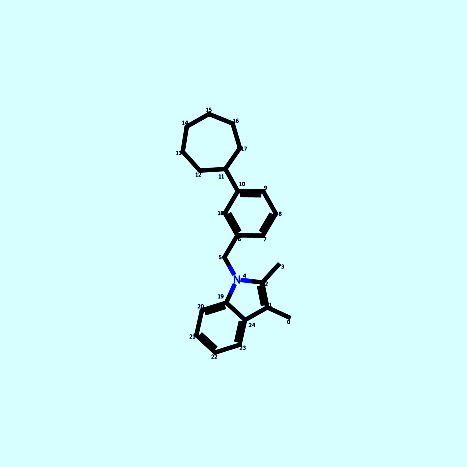 Cc1c(C)n(Cc2cccc(C3CCCCCC3)c2)c2ccccc12